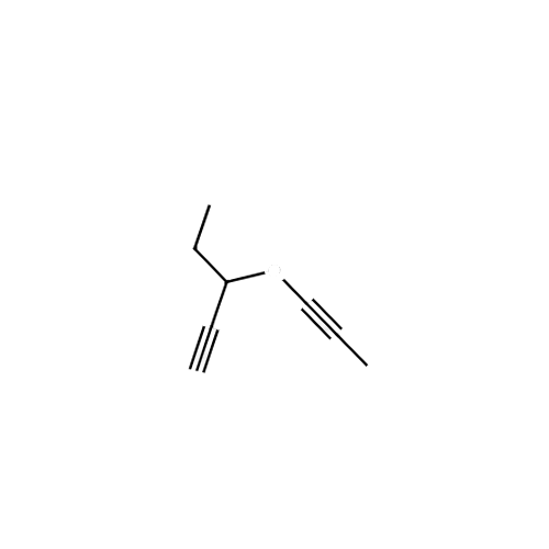 C#CC(CC)OC#CC